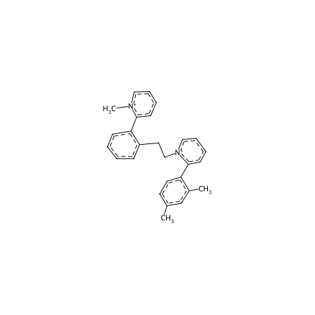 Cc1ccc(-c2cccc[n+]2CCc2ccccc2-c2cccc[n+]2C)c(C)c1